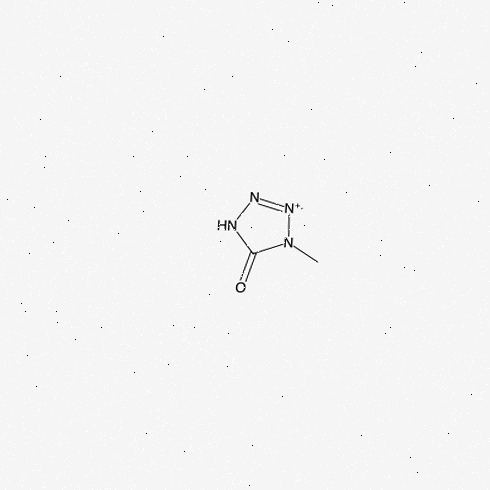 CN1[N+]=NNC1=O